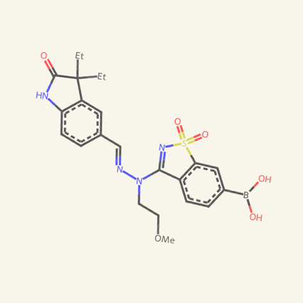 CCC1(CC)C(=O)Nc2ccc(/C=N/N(CCOC)C3=NS(=O)(=O)c4cc(B(O)O)ccc43)cc21